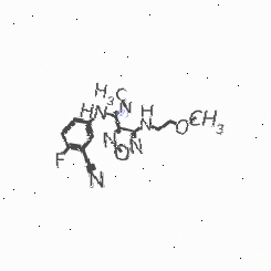 C/N=C(\Nc1ccc(F)c(C#N)c1)c1nonc1NCCOC